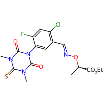 CCOC(=O)[C@@H](C)O/N=C/c1cc(-n2c(=O)n(C)c(=S)n(C)c2=O)c(F)cc1Cl